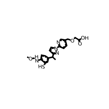 COCNc1ccc(C(C)c2ccn(-c3ccc(COCC(=O)O)cn3)n2)cc1S